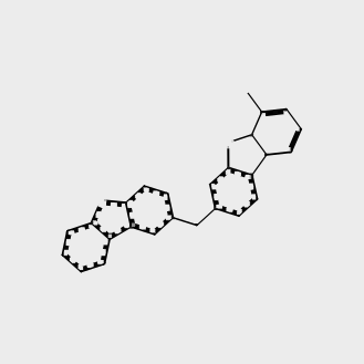 CC1=CC=CC2c3ccc(Cc4ccc5oc6ccccc6c5c4)cc3OC12